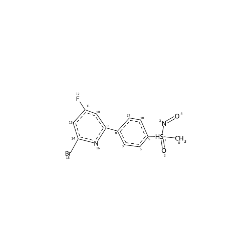 C[SH](=O)(N=O)c1ccc(-c2cc(F)cc(Br)n2)cc1